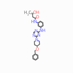 C[C@H](O)CC(=O)Nc1cccc(Nc2ncnc(N3CCC(OCc4ccccc4)CC3)n2)c1